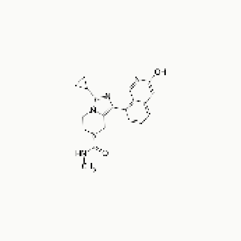 CNC(=O)N1CCn2c(C3CC3)nc(-c3cccc4cc(O)ncc34)c2C1